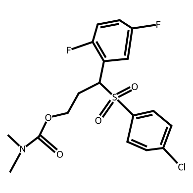 CN(C)C(=O)OCCC(c1cc(F)ccc1F)S(=O)(=O)c1ccc(Cl)cc1